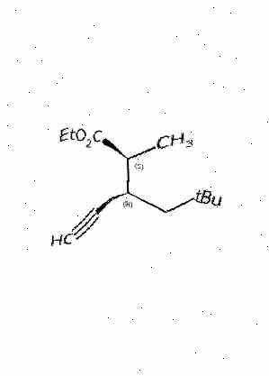 C#C[C@H](CC(C)(C)C)[C@H](C)C(=O)OCC